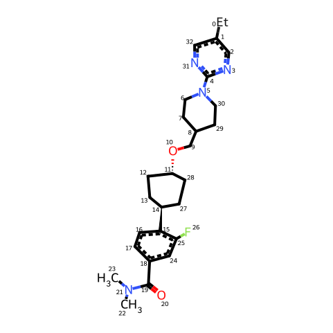 CCc1cnc(N2CCC(CO[C@H]3CC[C@H](c4ccc(C(=O)N(C)C)cc4F)CC3)CC2)nc1